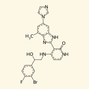 Cc1cc(-n2ccnc2)cc2[nH]c(-c3c(NCC(O)c4ccc(F)c(Br)c4)cc[nH]c3=O)nc12